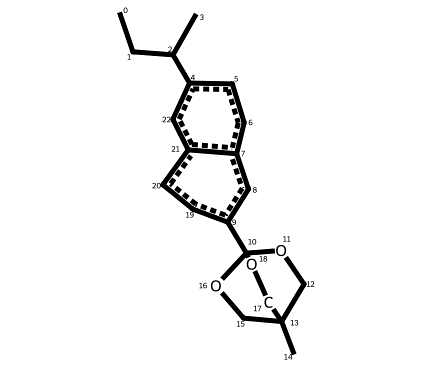 CCC(C)c1ccc2cc(C34OCC(C)(CO3)CO4)ccc2c1